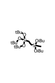 CC(C)CO[Si](C)(CC[Si](OC(C)(C)C)(OC(C)(C)C)OC(C)(C)C)OCC(C)C